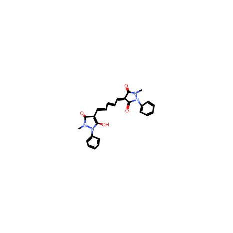 CN1C(=O)C(=CC=CC=Cc2c(O)n(-c3ccccc3)n(C)c2=O)C(=O)N1c1ccccc1